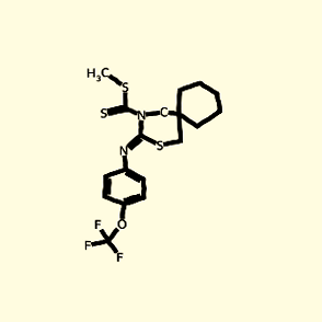 CSC(=S)N1CC2(CCCCC2)CS/C1=N\c1ccc(OC(F)(F)F)cc1